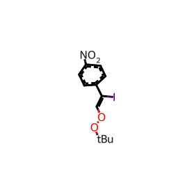 CC(C)(C)OOC=C(I)c1ccc([N+](=O)[O-])cc1